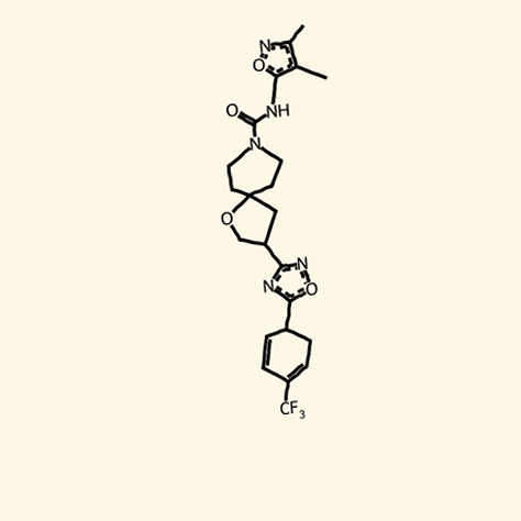 Cc1noc(NC(=O)N2CCC3(CC2)CC(c2noc(C4C=CC(C(F)(F)F)=CC4)n2)CO3)c1C